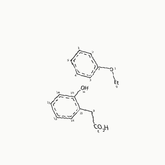 CCOc1ccccc1.O=C(O)Cc1ccccc1O